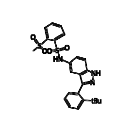 CC(C)(C)c1ccccc1-c1n[nH]c2ccc(NS(=O)(=O)c3ccccc3S(C)(=O)=O)cc12